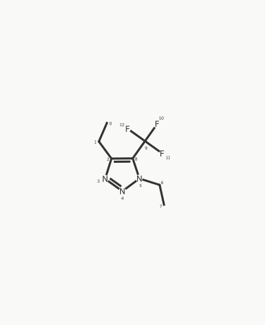 CCc1nnn(CC)c1C(F)(F)F